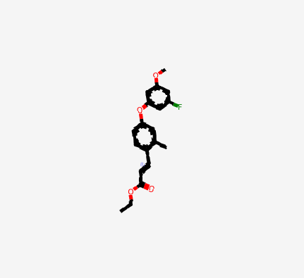 CCOC(=O)/C=C/c1ccc(Oc2cc(F)cc(OC)c2)cc1C